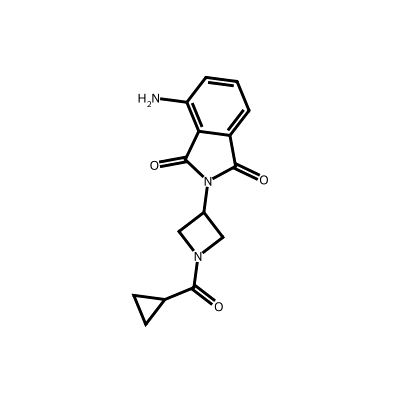 Nc1cccc2c1C(=O)N(C1CN(C(=O)C3CC3)C1)C2=O